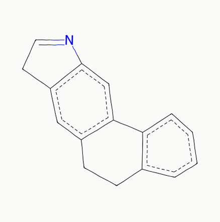 C1=Nc2cc3c(cc2C1)CCc1ccccc1-3